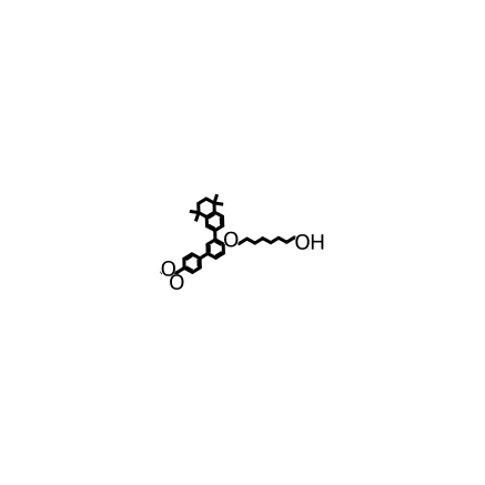 COC(=O)c1ccc(-c2ccc(OCCCCCCCCO)c(-c3ccc4c(c3)C(C)(C)CCC4(C)C)c2)cc1